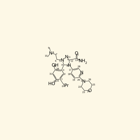 CC(C)c1cc(C2N(CCN(C)C)N=C(C(N)=O)N2c2ccc(N3CCOCC3)nc2)c(O)cc1O